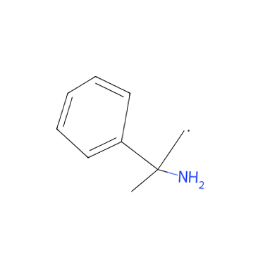 [CH2]C(C)(N)c1ccccc1